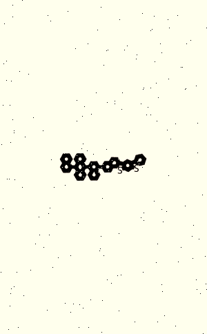 c1ccc2c(-c3c4ccccc4c(-c4ccc(-c5ccc6c(ccc7c8cc9c(cc8sc67)sc6ccccc69)c5)c5ccccc45)c4ccccc34)cccc2c1